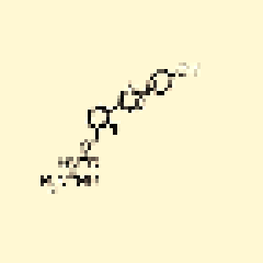 N=C(N)NC(=O)OCc1cccc(-c2cnc(N3CCC(O)CC3)nc2)c1F